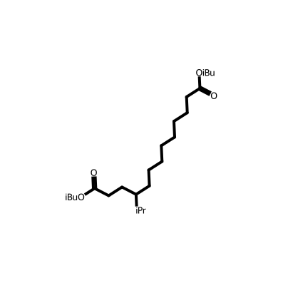 CC(C)COC(=O)CCCCCCCCC(CCC(=O)OCC(C)C)C(C)C